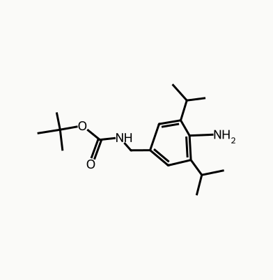 CC(C)c1cc(CNC(=O)OC(C)(C)C)cc(C(C)C)c1N